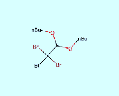 CCCCOC(OCCCC)C(Br)(Br)CC